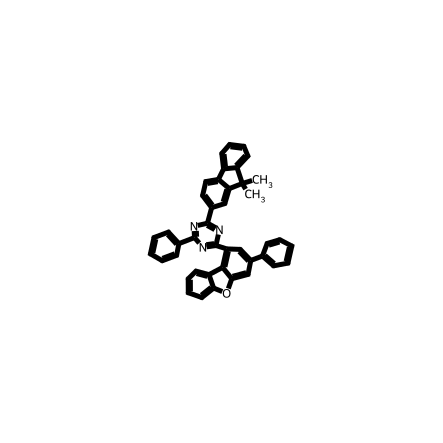 CC1(C)c2ccccc2-c2ccc(-c3nc(-c4ccccc4)nc(-c4cc(-c5ccccc5)cc5oc6ccccc6c45)n3)cc21